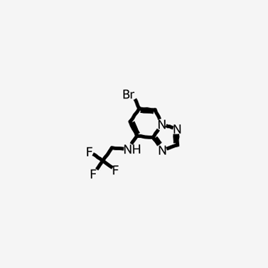 FC(F)(F)CNc1cc(Br)cn2ncnc12